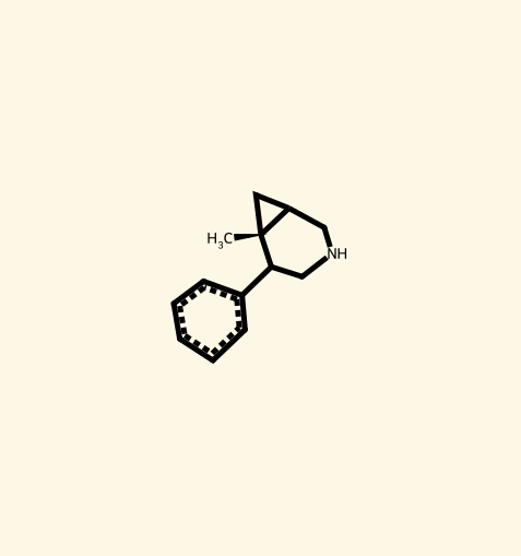 C[C@@]12CC1CNCC2c1ccccc1